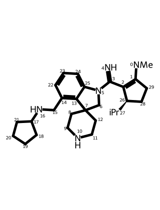 CNC1=C(C(=N)N2CC3(CCNCC3)c3c(CNC4CCCC4)cccc32)[C@H](C(C)C)CC1